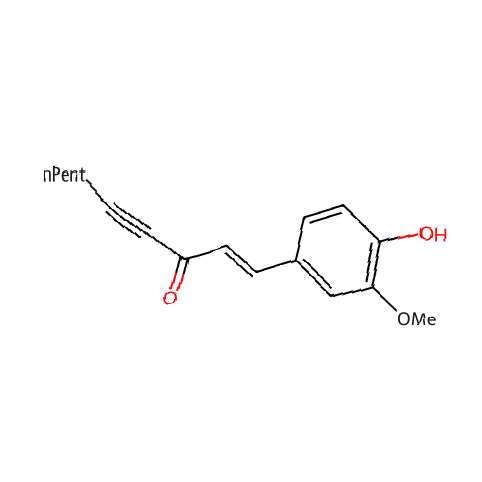 CCCCCC#CC(=O)C=Cc1ccc(O)c(OC)c1